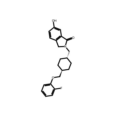 O=C1c2cc(O)ccc2CN1C[C@H]1CC[C@H](COc2ccccc2F)CC1